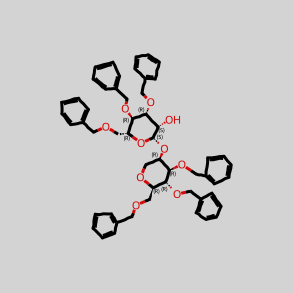 O[C@@H]1[C@H](O[C@@H]2CO[C@H](COCc3ccccc3)[C@@H](OCc3ccccc3)[C@@H]2OCc2ccccc2)O[C@H](COCc2ccccc2)[C@@H](OCc2ccccc2)[C@@H]1OCc1ccccc1